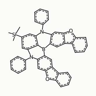 C[Si](C)(C)c1cc2c3c(c1)N(c1ccccc1)c1cc4oc5ccccc5c4cc1B3c1cc3c(cc1N2c1ccccc1)oc1ccccc13